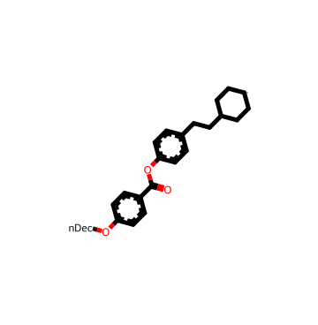 CCCCCCCCCCOc1ccc(C(=O)Oc2ccc(CCC3CC[CH]CC3)cc2)cc1